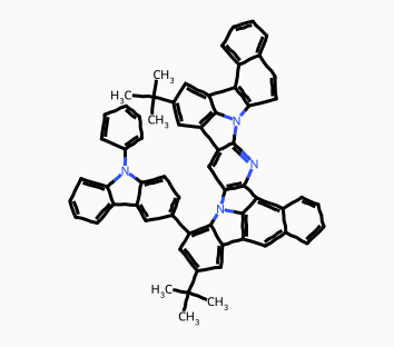 CC(C)(C)c1cc(-c2ccc3c(c2)c2ccccc2n3-c2ccccc2)c2c(c1)c1cc3ccccc3c3c4nc5c(cc4n2c13)c1cc(C(C)(C)C)cc2c3c4ccccc4ccc3n5c12